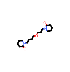 O=C1CCCCN1CCCCOCCCN1CCCCC1=O